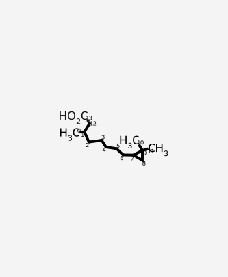 CC(CCCCCC1CC1(C)C)CC(=O)O